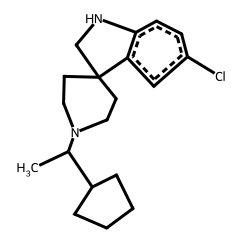 CC(C1CCCC1)N1CCC2(CC1)CNc1ccc(Cl)cc12